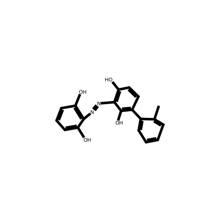 Cc1ccccc1-c1ccc(O)c(N=Nc2c(O)cccc2O)c1O